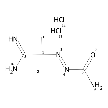 CC(C)(N=NC(N)=O)C(=N)N.Cl.Cl